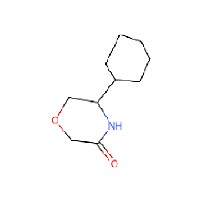 O=C1COCC(C2CCCCC2)N1